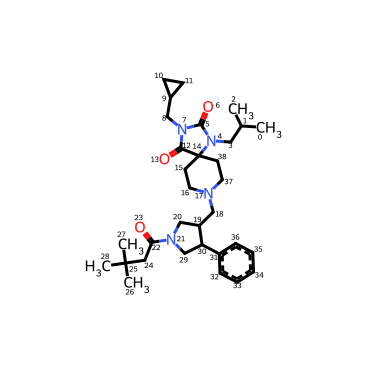 CC(C)CN1C(=O)N(CC2CC2)C(=O)C12CCN(CC1CN(C(=O)CC(C)(C)C)CC1c1ccccc1)CC2